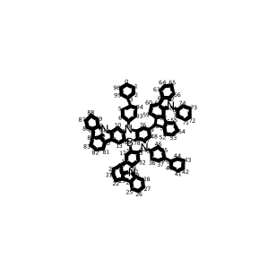 c1ccc(-c2ccc(N3c4cc5c(cc4B4c6cc7c8cccc9c%10ccccc%10n(c7cc6N(c6ccc(-c7ccccc7)cc6)c6cc(C7c%10ccccc%10-c%10c7ccc7c%11ccccc%11n(-c%11ccccc%11)c%107)cc3c64)c98)c3cccc4c6ccccc6n5c43)cc2)cc1